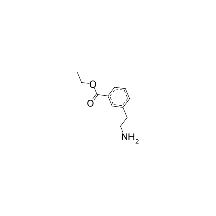 CCOC(=O)c1cccc(CCN)c1